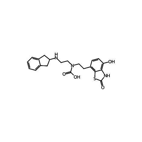 O=C(O)N(CCNC1Cc2ccccc2C1)CCc1ccc(O)c2[nH]c(=O)sc12